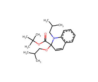 CC(C)COC1(C(=O)OC(C)(C)C)C=Cc2ccccc2N1CC(C)C